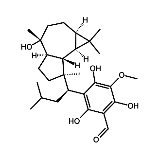 COc1c(O)c(C=O)c(O)c([C@@H](CC(C)C)[C@@]2(C)CC[C@@H]3[C@@H]2[C@H]2[C@@H](CC[C@@]3(C)O)C2(C)C)c1O